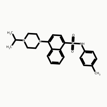 Cc1ccc(NS(=O)(=O)c2ccc(N3CCN(C(C)C)CC3)c3ccccc23)cc1